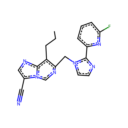 CCCc1c(Cn2ccnc2-c2cccc(F)n2)ncn2c(C#N)cnc12